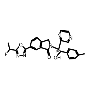 Cc1ccc(C(O)[C@@H](c2cnccn2)N2Cc3ccc(-c4nnc(C(C)F)o4)cc3C2=O)cc1